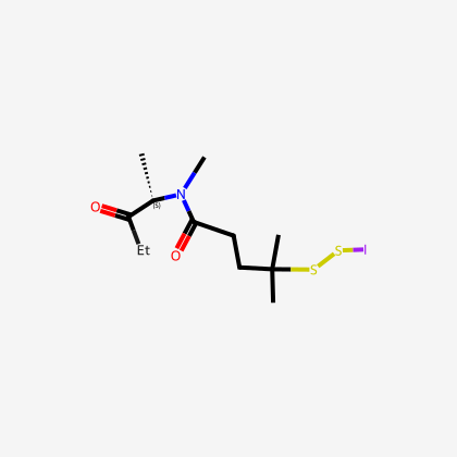 CCC(=O)[C@H](C)N(C)C(=O)CCC(C)(C)SSI